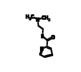 CN(C)CCSC(=O)c1ccccn1